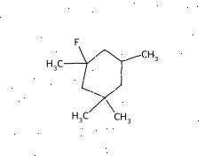 CC1CC(C)(C)CC(C)(F)C1